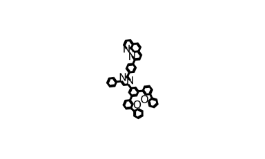 c1ccc(-c2cc(-c3cc(-c4cccc5c4oc4ccccc45)cc(-c4cccc5c4oc4ccccc45)c3)nc(-c3ccc(-c4ccc5ccc6cccnc6c5n4)cc3)n2)cc1